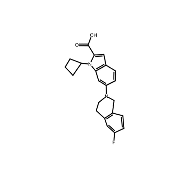 O=C(O)c1cc2ccc(N3CCc4cc(F)ccc4C3)cc2n1C1CCC1